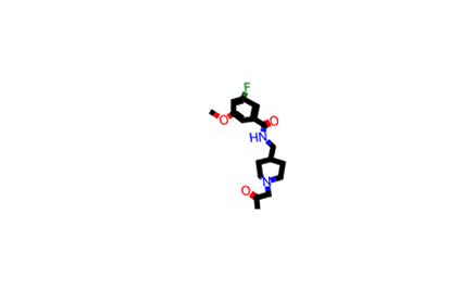 COc1cc(F)cc(C(=O)NCC2CCN(CC(C)=O)CC2)c1